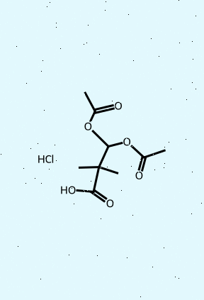 CC(=O)OC(OC(C)=O)C(C)(C)C(=O)O.Cl